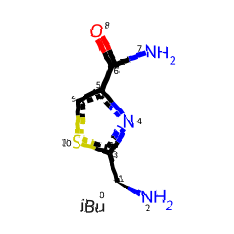 CC[C@H](C)[C@H](N)c1nc(C(N)=O)cs1